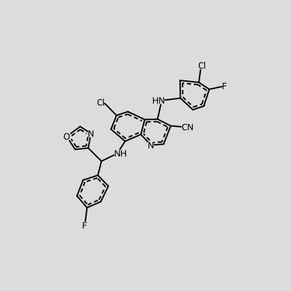 N#Cc1cnc2c(NC(c3ccc(F)cc3)c3cocn3)cc(Cl)cc2c1Nc1ccc(F)c(Cl)c1